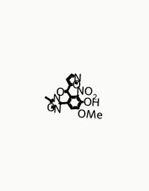 COc1cc(-c2noc(C)n2)c(C(=O)c2ccno2)c([N+](=O)[O-])c1O